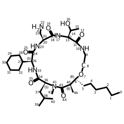 CCCCCC[C@H]1OCCNC(=O)[C@H](C(C)O)NC(=O)[C@H](CN)NC(=O)[C@H](C2CCCCC2)NC(=O)[C@H](CC(C)C)N(C)C(=O)[C@@H]1C